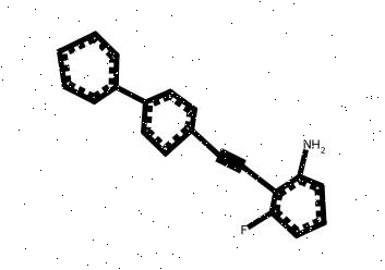 Nc1cccc(F)c1C#Cc1ccc(-c2ccccc2)cc1